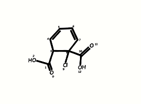 O=C(O)C1C=CC=CC1(Cl)C(=O)O